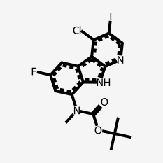 CN(C(=O)OC(C)(C)C)c1cc(F)cc2c1[nH]c1ncc(I)c(Cl)c12